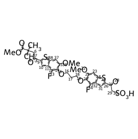 COC(=O)C(C)(C)CC(=O)c1cc2c(F)c(OCCCOc3c(OC)cc4sc(C(=O)CS(=O)(=O)O)cc4c3F)c(OC)cc2s1